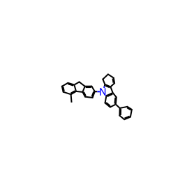 Cc1cccc2c1-c1ccc(-n3c4c(c5cc(-c6ccccc6)ccc53)C=CCC4)cc1C2